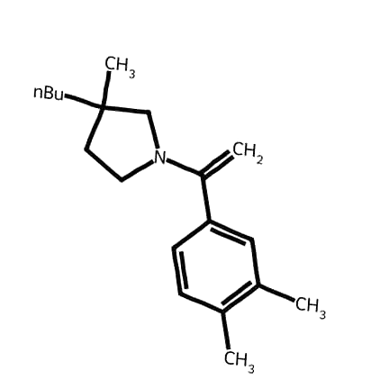 C=C(c1ccc(C)c(C)c1)N1CCC(C)(CCCC)C1